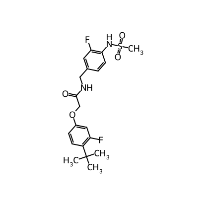 CC(C)(C)c1ccc(OCC(=O)NCc2ccc(NS(C)(=O)=O)c(F)c2)cc1F